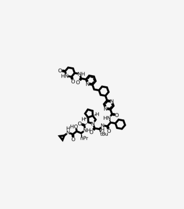 CCC[C@H](NC(=O)[C@@H]1[C@H]2CCC[C@H]2CN1C(=O)[C@@H](NC(=O)[C@@H](NC(=O)c1cnc(C2CCCC(Cc3cccc(C(=O)NC4CCC(=O)NC4=O)n3)C2)cn1)C1CCCCC1)C(C)(C)C)C(O)C(=O)NC1CC1